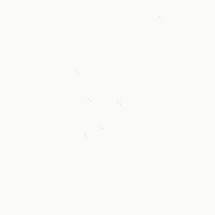 c1ccc(-c2cnn(-c3nc(N4CCOCC4)c4oc(-c5ccncc5)cc4n3)c2)cc1